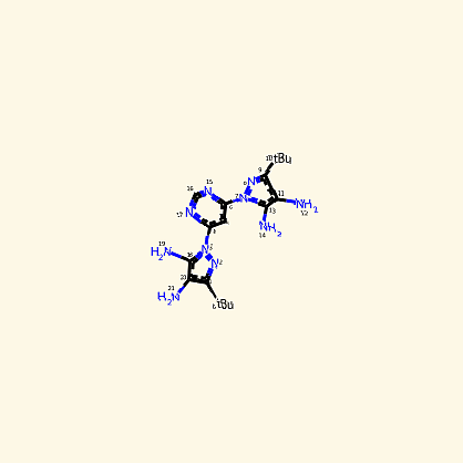 CC(C)(C)c1nn(-c2cc(-n3nc(C(C)(C)C)c(N)c3N)ncn2)c(N)c1N